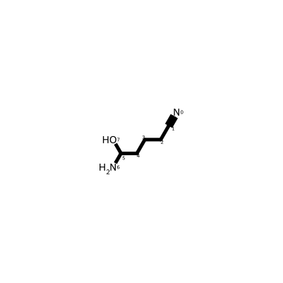 N#CCCCC(N)O